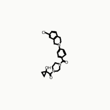 O=C(c1ccc(N2CCc3ccc(Cl)cc3C2)cc1)N1CCN(C(=O)C2(O)CC2)CC1